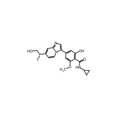 COc1cc(-c2cnc3cc(P(F)CO)ccn23)cc(O)c1C(=O)NC1CC1